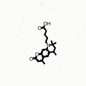 Cc1cc(=O)oc2cc3c(cc12)C(C)CC(C)(C)N3CCCCC(=O)O